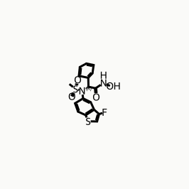 CS(=O)(=O)N(c1ccc2scc(F)c2c1)[C@@H](C(=O)NO)c1ccccc1